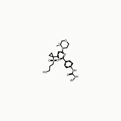 CC(C)NC(=O)Nc1ccc(-c2nc(N3CCOC[C@@H]3C)cc(C3(S(=O)(=O)CCCO)CC3)n2)cc1